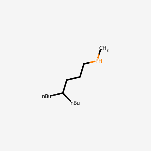 CCCCC(CCCC)CCCPC